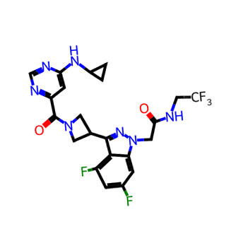 O=C(Cn1nc(C2CN(C(=O)c3cc(NC4CC4)ncn3)C2)c2c(F)cc(F)cc21)NCC(F)(F)F